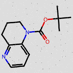 CC(C)(C)OC(=O)N1CCCc2ncccc21